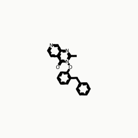 Cc1nc2cnccc2c(=O)n1Oc1ccccc1Cc1ccccc1